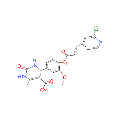 COc1cc(C2NC(=O)NC(C)=C2C(=O)O)ccc1OC(=O)C=Cc1ccnc(Cl)c1